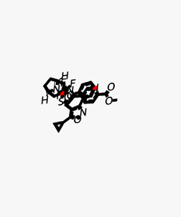 COC(=O)c1ccc(-c2csc(N3[C@@H]4CC[C@H]3C[C@@H](OCc3c(-c5ccccc5OC(F)(F)F)noc3C3CC3)C4)n2)cn1